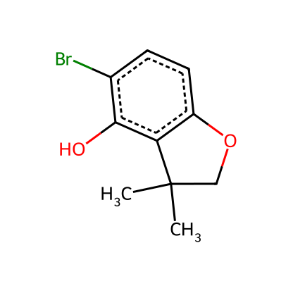 CC1(C)COc2ccc(Br)c(O)c21